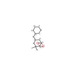 CC1(C)CC(CC2CCCCC2)CC23OC12O3